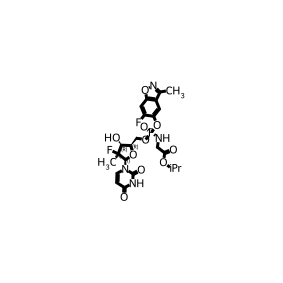 Cc1noc2cc(F)c(OP(=O)(NCC(=O)OC(C)C)OC[C@H]3O[C@@H](n4ccc(=O)[nH]c4=O)[C@](C)(F)[C@@H]3O)cc12